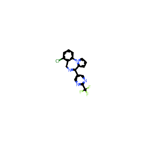 FC(F)(F)c1ncc(C2=NCc3c(Cl)cccc3-n3cccc32)cn1